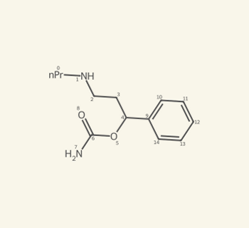 CCCNCCC(OC(N)=O)c1ccccc1